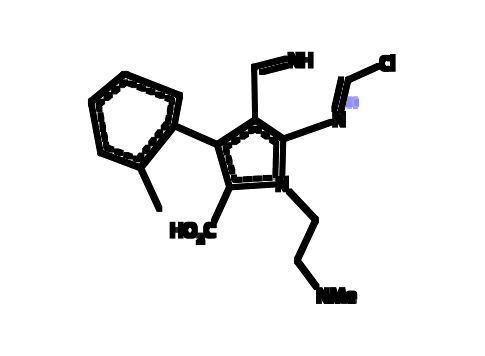 CNCCn1c(/N=C/Cl)c(C=N)c(-c2ccccc2C)c1C(=O)O